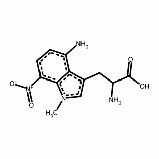 Cn1cc(CC(N)C(=O)O)c2c(N)ccc([N+](=O)[O-])c21